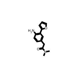 CN(C)C(=O)Cc1ccc(N)c(-c2ccco2)c1